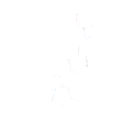 Cc1nc(Cl)nc(Nc2cccc(CNC(=O)OC(C)(C)C)c2)c1C